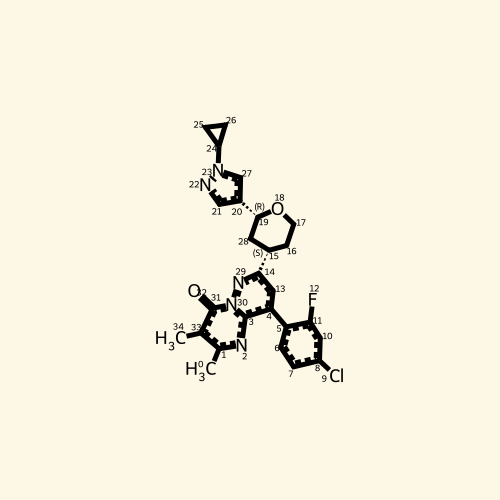 Cc1nc2c(-c3ccc(Cl)cc3F)cc([C@H]3CCO[C@@H](c4cnn(C5CC5)c4)C3)nn2c(=O)c1C